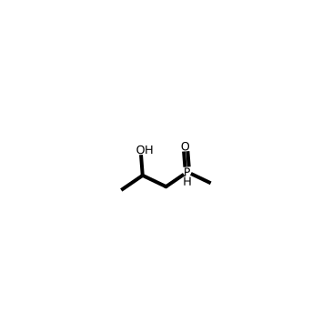 CC(O)C[PH](C)=O